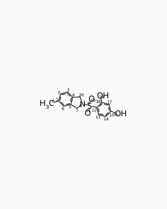 Cc1ccc2c(c1)CN(S(=O)(=O)c1ccc(O)cc1O)C2